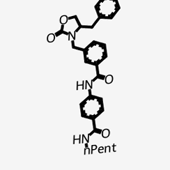 CCCCCNC(=O)c1ccc(NC(=O)c2cccc(CN3C(=O)OCC3Cc3ccccc3)c2)cc1